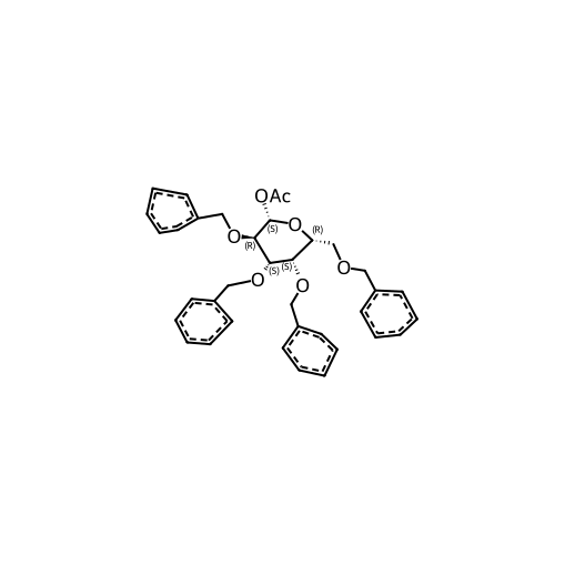 CC(=O)O[C@@H]1O[C@H](COCc2ccccc2)[C@H](OCc2ccccc2)[C@H](OCc2ccccc2)[C@H]1OCc1ccccc1